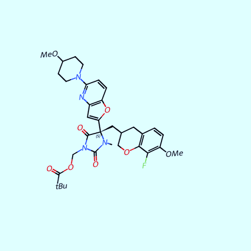 COc1ccc2c(c1F)OCC(C[C@]1(c3cc4nc(N5CCC(OC)CC5)ccc4o3)C(=O)N(COC(=O)C(C)(C)C)C(=O)N1C)C2